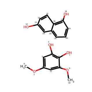 COc1cc(O)c(O)c(OC)c1.Oc1ccc2c(O)cccc2c1